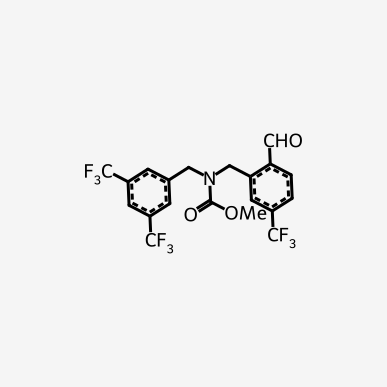 COC(=O)N(Cc1cc(C(F)(F)F)cc(C(F)(F)F)c1)Cc1cc(C(F)(F)F)ccc1C=O